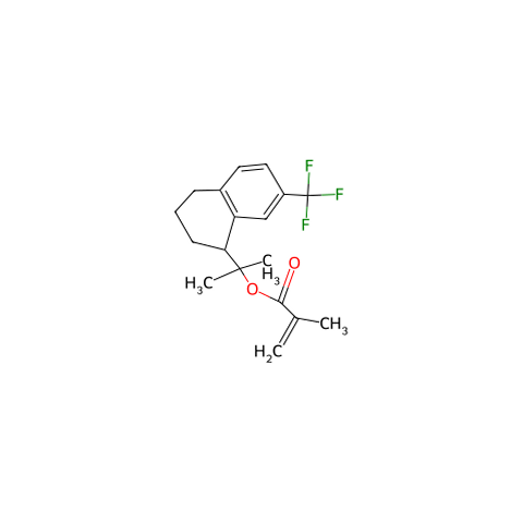 C=C(C)C(=O)OC(C)(C)C1CCCc2ccc(C(F)(F)F)cc21